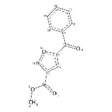 COC(=O)c1cc(C(=O)c2ccccc2)on1